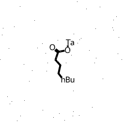 CCCCCCCC(=O)[O][Ta]